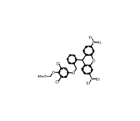 CCN(CC)c1ccc2c(c1)Oc1cc(N(CC)CC)ccc1C2c1ccccc1COc1cc(Cl)c(OCOC)c(Cl)c1